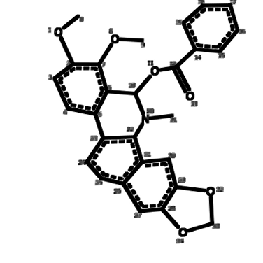 COc1ccc2c(c1OC)C(OC(=O)c1ccccc1)N(C)c1c-2ccc2cc3c(cc12)OCO3